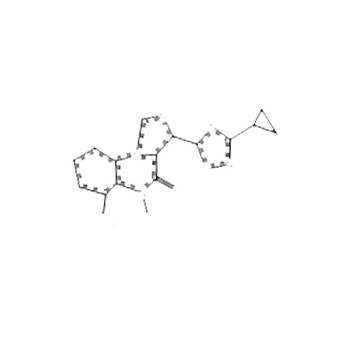 Cn1c(=O)c2c(-c3nc(C4CC4)no3)ncn2c2cccc(C(F)(F)F)c21